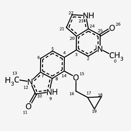 Cn1cc(-c2ccc3c([nH]c(=O)n3C)c2OCC2CC2)c2cc[nH]c2c1=O